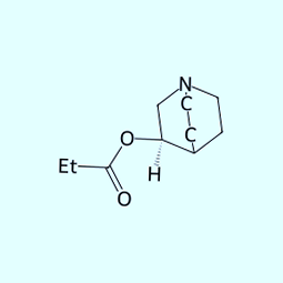 CCC(=O)O[C@H]1CN2CCC1CC2